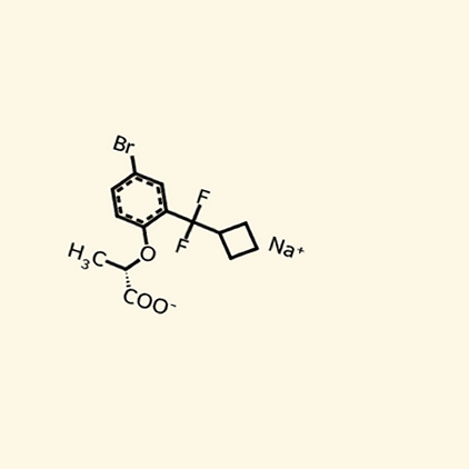 C[C@H](Oc1ccc(Br)cc1C(F)(F)C1CCC1)C(=O)[O-].[Na+]